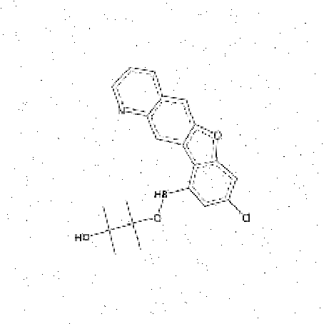 CC(C)(O)C(C)(C)OBc1cc(Cl)cc2oc3cc4cccnc4cc3c12